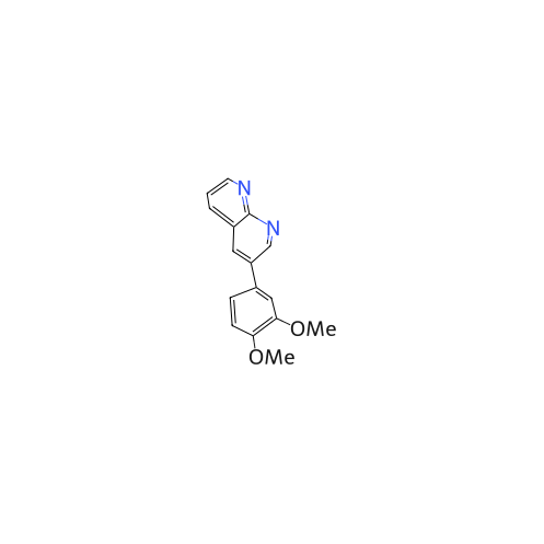 COc1ccc(-c2cnc3ncccc3c2)cc1OC